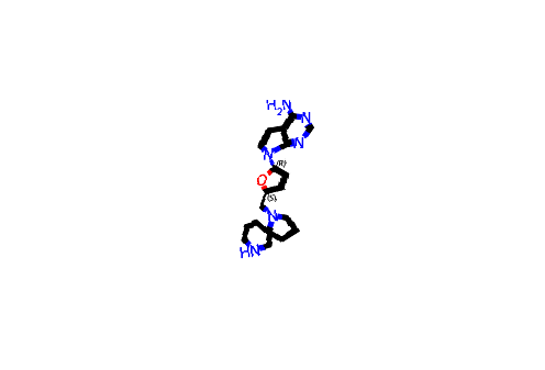 Nc1ncnc2c1ccn2[C@H]1CC[C@@H](CN2CCCC23CCCNC3)O1